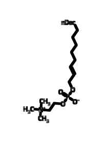 CCCCCCCCCCCCCCCC=CCOP(=O)([O-])OCC[N+](C)(C)C